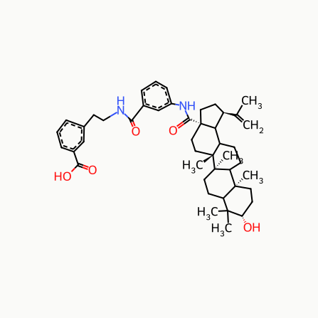 C=C(C)[C@@H]1CC[C@]2(C(=O)Nc3cccc(C(=O)NCCc4cccc(C(=O)O)c4)c3)CC[C@]3(C)C(CCC4[C@@]5(C)CC[C@H](O)C(C)(C)C5CC[C@]43C)C12